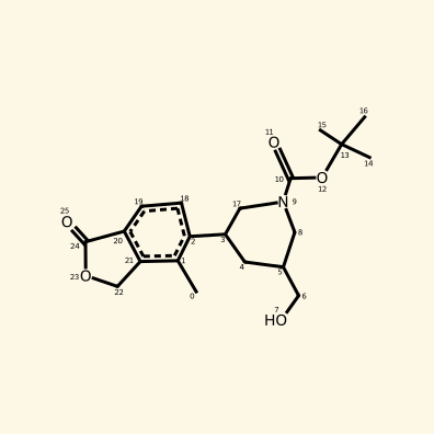 Cc1c(C2CC(CO)CN(C(=O)OC(C)(C)C)C2)ccc2c1COC2=O